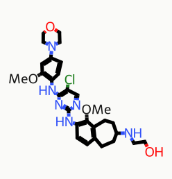 COc1cc(N2CCOCC2)ccc1Nc1nc(Nc2ccc3c(c2OC)CCC(NCCO)CC3)ncc1Cl